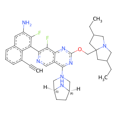 C#Cc1cccc2cc(N)c(F)c(-c3ncc4c(N5C[C@H]6CC[C@@H](C5)N6)nc(OCC56CC(CC)CN5CC(CC)C6)nc4c3F)c12